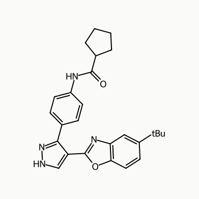 CC(C)(C)c1ccc2oc(-c3c[nH]nc3-c3ccc(NC(=O)C4CCCC4)cc3)nc2c1